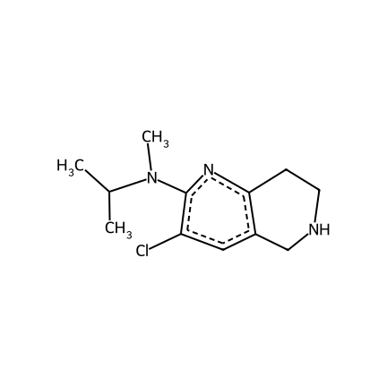 CC(C)N(C)c1nc2c(cc1Cl)CNCC2